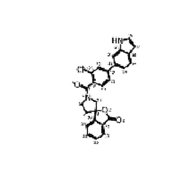 O=C1O[C@]2(CCN(C(=O)c3ccc(-c4ccc5cc[nH]c5c4)cc3Cl)C2)c2ccccc21